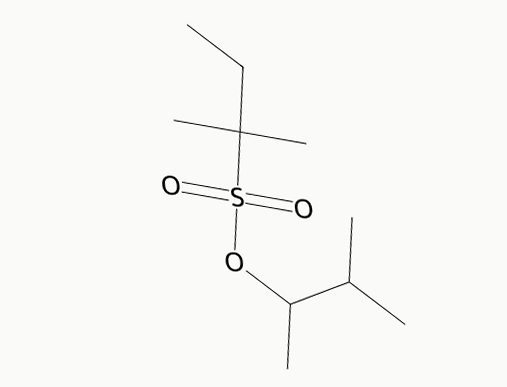 CCC(C)(C)S(=O)(=O)OC(C)C(C)C